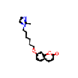 Cc1nccn1CCCCCCOc1ccc2ccc(=O)oc2c1